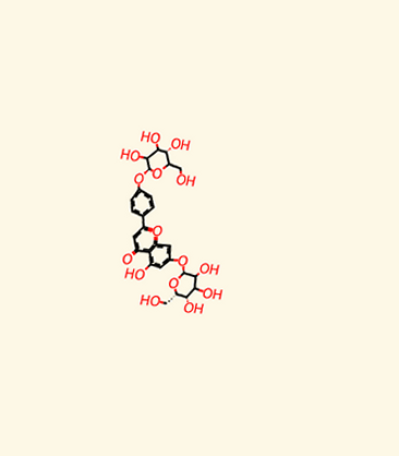 O=c1cc(-c2ccc(O[C@@H]3OC(CO)[C@@H](O)C(O)C3O)cc2)oc2cc(O[C@@H]3O[C@@H](CO)[C@@H](O)C(O)C3O)cc(O)c12